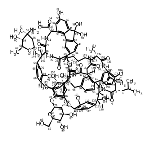 CC(C)C[C@H](C(=O)N[C@H]1C(=O)C[C@@H](CC(N)=O)C(=O)N[C@H]2C(=O)C[C@H]3C(=O)N[C@H](C(=O)N[C@H](C(=O)O)c4cc(O)cc5c4-c4cc3ccc4C5(O)O)[C@H](O[C@H]3C[C@](C)(N)[C@@H](O)[C@H](C)O3)c3ccc(c(Cl)c3)Oc3cc2cc(c3O[C@@H]2O[C@H](CO)[C@@H](O)[C@H](O)[C@H]2O[C@H]2C[C@](C)(NCc3ccc(-c4ccc(Cl)cc4)cc3)[C@@H](O)[C@H](C)O2)Oc2ccc(cc2Cl)[C@H]1O)N(C)C(=O)CNC(=O)[C@@H](C)CCCCN